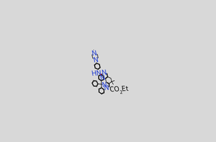 CCOC(=O)c1nn(C(c2ccccc2)(c2ccccc2)c2ccccc2)c2c1C(C)(C)Cc1cnc(Nc3ccc(N4CCN(C)CC4)cc3)nc1-2